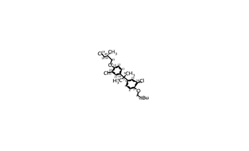 CC[C@H](C)COc1ccc(C(C)(C)c2ccc(OC[C@@H](C)CCl)c(Cl)c2)cc1Cl